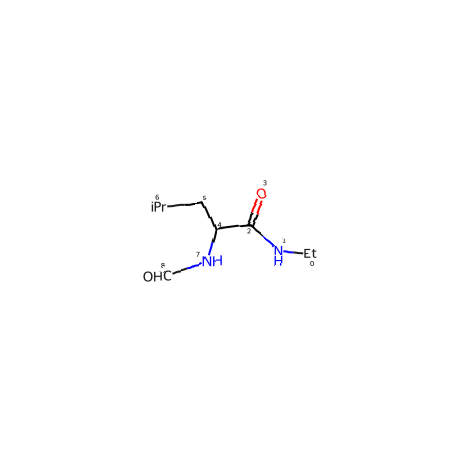 CCNC(=O)C(CC(C)C)NC=O